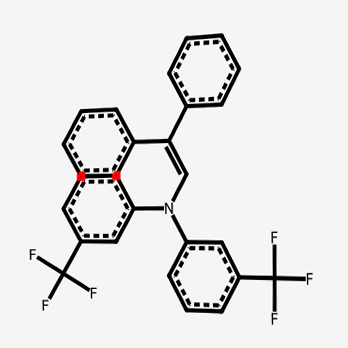 FC(F)(F)c1cccc(N(C=C(c2ccccc2)c2ccccc2)c2cccc(C(F)(F)F)c2)c1